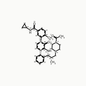 CC(=O)N1CCN(C[C@H](C)[C@@H](Nc2nccn(-c3cc(C(=O)NC4CC4)ccc3C)c2=O)c2ccccc2)CC1